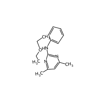 CCOCC.Cc1cc(C)nc(Nc2ccccc2)n1